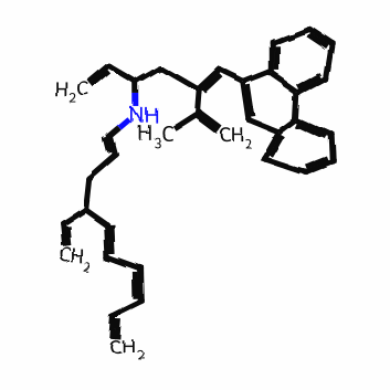 C=C/C=C\C=C\C(C=C)C/C=C/NC(C=C)C/C(=C/c1cc2ccccc2c2ccccc12)C(=C)C